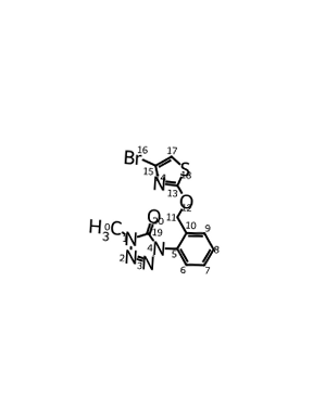 Cn1nnn(-c2ccccc2COc2nc(Br)cs2)c1=O